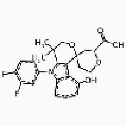 CC1(C)COC2(CCOC(C(=O)O)C2)c2c1n(-c1ccc(F)c(F)c1)c1cccc(O)c21